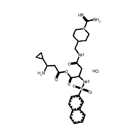 Cl.N=C(N)N1CCC(CNC(=O)CC(NS(=O)(=O)c2ccc3ccccc3c2)C(=O)OC(=O)CC(N)C2CC2)CC1